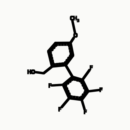 COc1ccc(CO)c(-c2c(F)c(F)c(F)c(F)c2F)c1